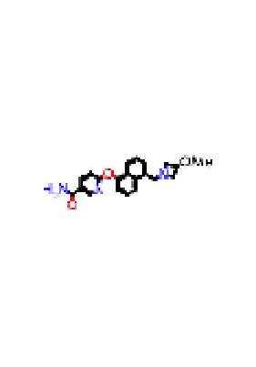 COC1CN(Cc2cccc3c(Oc4ccc(C(N)=O)cn4)cccc23)C1